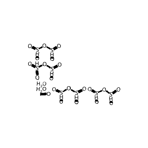 C=O.O.O.O=[SH](=O)O[SH](=O)=O.O=[SH](=O)O[SH](=O)=O.O=[SH](=O)O[SH](=O)=O.O=[SH](=O)O[SH](=O)=O